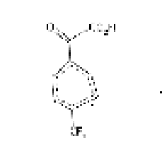 O=C(O)C(=O)c1ccc(C(F)(F)F)cc1